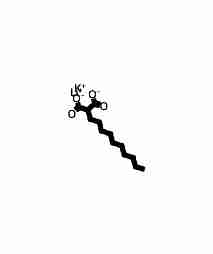 CCCCCCCCCCC(C(=O)[O-])C(=O)[O-].[K+].[Li+]